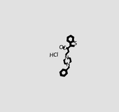 Cl.O=C=C(CCN1CCN(Cc2ccccc2)CC1)c1csc2ccccc12